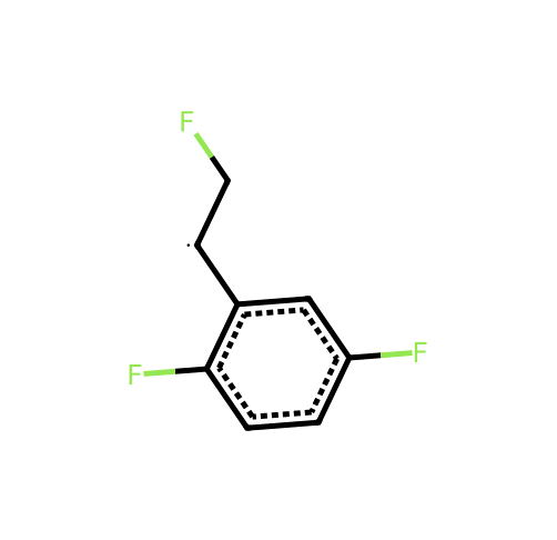 FC[CH]c1cc(F)ccc1F